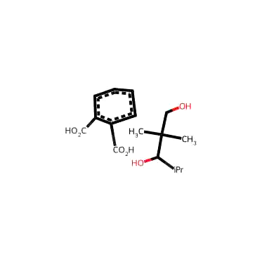 CC(C)C(O)C(C)(C)CO.O=C(O)c1ccccc1C(=O)O